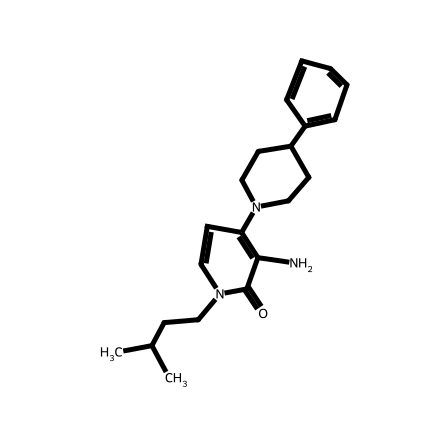 CC(C)CCn1ccc(N2CCC(c3ccccc3)CC2)c(N)c1=O